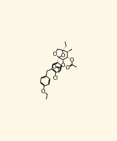 CCOc1ccc(Cc2cc([C@]34OC[C@](CC)(O3)[C@@H](C)[C@H](OC(C)=O)[C@H]4OC(C)=O)ccc2Cl)cc1